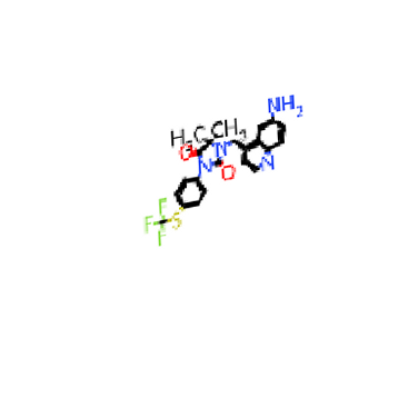 CC1(C)C(=O)N(c2ccc(SC(F)(F)F)cc2)C(=O)N1Cc1ccnc2ccc(N)cc12